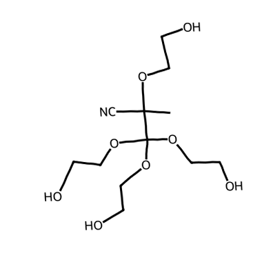 CC(C#N)(OCCO)C(OCCO)(OCCO)OCCO